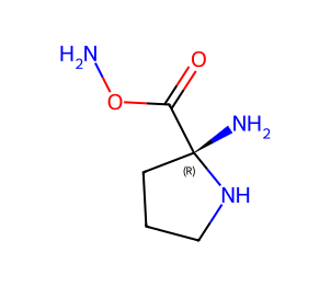 NOC(=O)[C@@]1(N)CCCN1